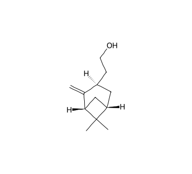 C=C1[C@@H](CCO)C[C@H]2C[C@@H]1C2(C)C